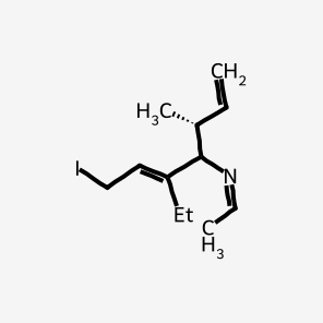 C=C[C@@H](C)C(/N=C\C)/C(=C/CI)CC